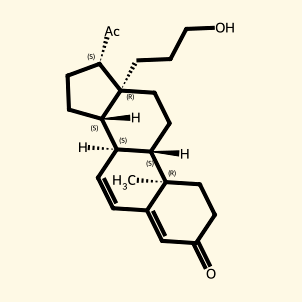 CC(=O)[C@H]1CC[C@H]2[C@@H]3C=CC4=CC(=O)CC[C@]4(C)[C@H]3CC[C@]12CCCO